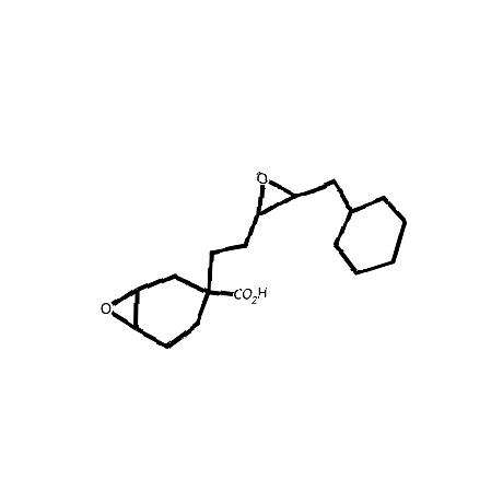 O=C(O)C1(CCC2OC2CC2CCCCC2)CCC2OC2C1